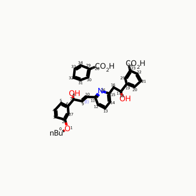 CCCCOc1cccc(C(O)/C=C/c2cccc(CC(O)c3cccc(C(=O)O)c3)n2)c1.O=C(O)c1ccccc1